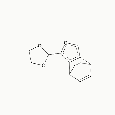 C1=CC2CCC1c1coc(C3OCCO3)c12